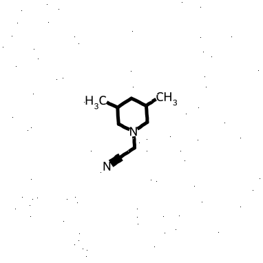 CC1CC(C)CN(CC#N)C1